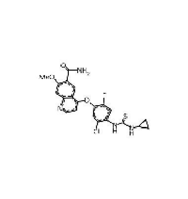 COc1cc2nccc(Oc3cc(Cl)c(NC(=S)NC4CC4)cc3F)c2cc1C(N)=O